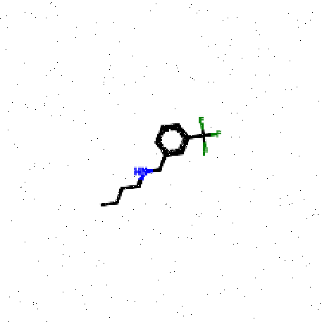 CCCCNCc1cccc(C(F)(F)F)c1